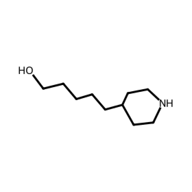 OCCCCCC1CCNCC1